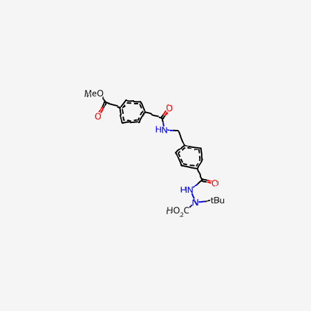 COC(=O)c1ccc(C(=O)NCc2ccc(C(=O)NN(C(=O)O)C(C)(C)C)cc2)cc1